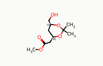 COC(=O)C[C@H]1C[C@@H](CO)OC(C)(C)O1